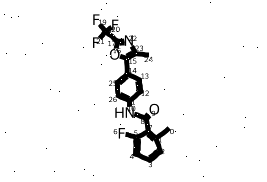 Cc1cccc(F)c1C(=O)Nc1ccc(-c2oc(C(F)(F)F)nc2C)cc1